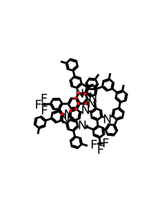 Cc1ccc(-c2ccc3c4ccccc4n(-c4cc(-c5ccc(C(F)(F)F)cc5C#N)c(-n5c6ccccc6c6ccc(-c7ccc(C)c(-c8cc(C)cc(-c9ccc%10c(c9)c9cc(-c%11cccc(C)c%11)ccc9n%10-c9cc(-c%10ccc(C(F)(F)F)cc%10C#N)c(-n%10c%11ccc(-c%12cccc(C)c%12)cc%11c%11cc(-c%12cccc(C)c%12)ccc%11%10)cc9C#N)c8)c7)cc65)cc4C#N)c3c2)cc1